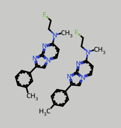 Cc1ccc(-c2cn3ccc(N(C)CCF)nc3n2)cc1.Cc1cccc(-c2cn3ccc(N(C)CCF)nc3n2)c1